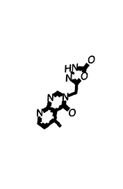 Cc1ccnc2ncn(Cc3n[nH]c(=O)o3)c(=O)c12